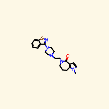 Cn1ccc2c1CCCN(CCN1CCN(c3nsc4ccccc34)CC1)C2=O